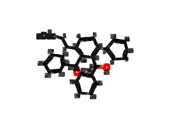 CCCCCCCCCCCCc1ccc(-c2ccccc2)c(C(=O)c2ccccc2)c1C(=O)c1ccccc1